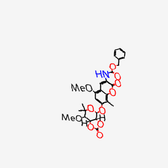 COc1cc(O[C@@H]2OC(C)(C)[C@H](OC)[C@H]3OC(=O)O[C@@H]23)c(C)c2oc(=O)c(NC(=O)OCc3ccccc3)cc12